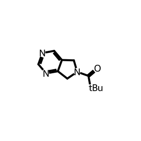 CC(C)(C)C(=O)N1Cc2cncnc2C1